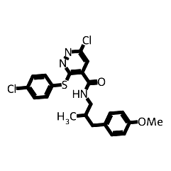 COc1ccc(CC(C)CNC(=O)c2cc(Cl)nnc2Sc2ccc(Cl)cc2)cc1